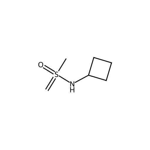 C=S(C)(=O)NC1CCC1